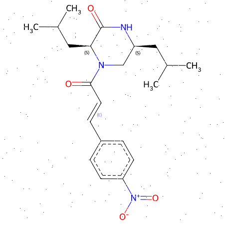 CC(C)C[C@H]1CN(C(=O)/C=C/c2ccc([N+](=O)[O-])cc2)[C@@H](CC(C)C)C(=O)N1